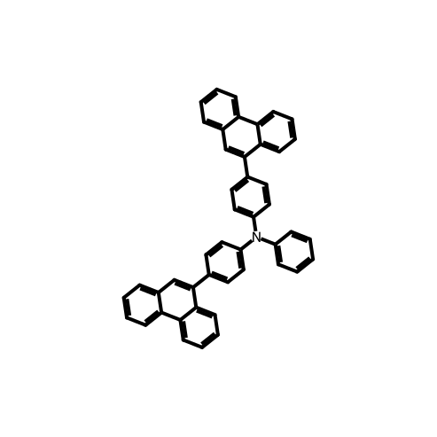 c1ccc(N(c2ccc(-c3cc4ccccc4c4ccccc34)cc2)c2ccc(-c3cc4ccccc4c4ccccc34)cc2)cc1